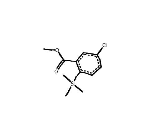 COC(=O)c1cc(Cl)ccc1[Si](C)(C)C